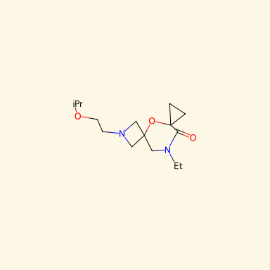 CCN1CC2(CN(CCOC(C)C)C2)OC2(CC2)C1=O